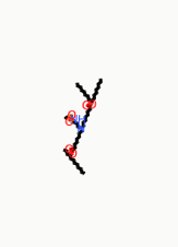 CCCCCCCCC(CCC)OC(=O)CCCCCCCN(CCCCCCCC(=O)OC(CCCCCCCC)CCCCCCCC)CCCNS(=O)(=O)CC